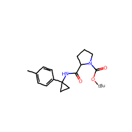 Cc1ccc(C2(NC(=O)C3CCCN3C(=O)OC(C)(C)C)CC2)cc1